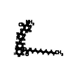 CCCCCCCCCCCC(=O)ON1CCCCC12CCN(c1cnc(Sc3ccnc(N)c3Cl)cn1)CC2